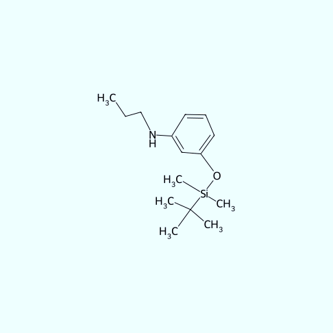 CCCNc1cccc(O[Si](C)(C)C(C)(C)C)c1